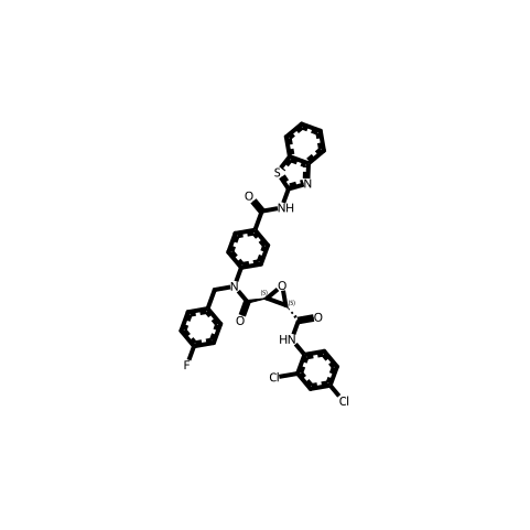 O=C(Nc1nc2ccccc2s1)c1ccc(N(Cc2ccc(F)cc2)C(=O)[C@H]2O[C@@H]2C(=O)Nc2ccc(Cl)cc2Cl)cc1